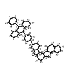 c1ccc(-c2c3ccccc3c(-c3ccc(-c4ccc5c(c4)oc4ccc6oc7c8ccccc8ccc7c6c45)cc3)c3ccccc23)cc1